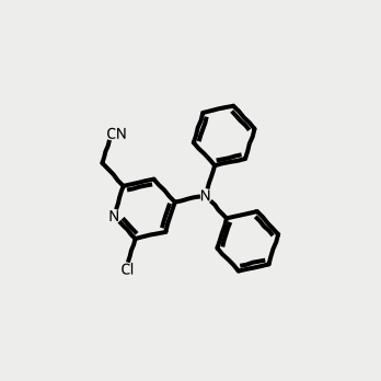 N#CCc1cc(N(c2ccccc2)c2ccccc2)cc(Cl)n1